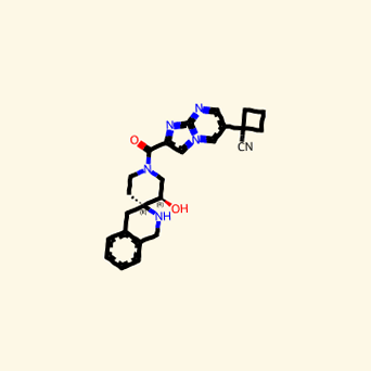 N#CC1(c2cnc3nc(C(=O)N4CC[C@]5(Cc6ccccc6CN5)[C@H](O)C4)cn3c2)CCC1